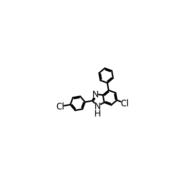 Clc1ccc(-c2nc3c(-c4ccccc4)cc(Cl)cc3[nH]2)cc1